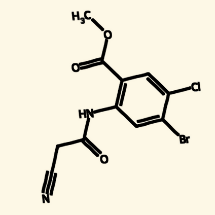 COC(=O)c1cc(Cl)c(Br)cc1NC(=O)CC#N